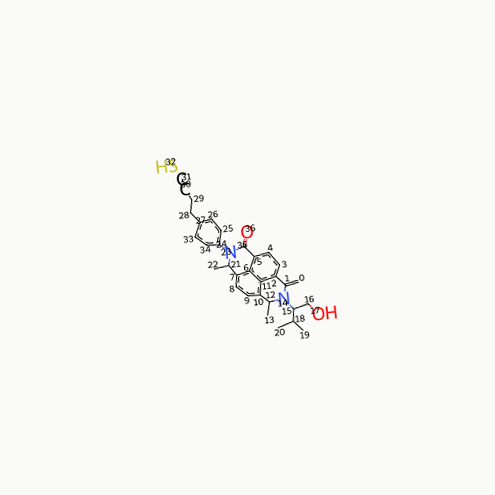 C=C1c2ccc3c4c(ccc(c24)C(C)N1C(CO)C(C)C)C(C)N(c1ccc(CCCCS)cc1)C3=O